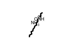 CCCCCCCCCCCC(=O)NOCCC.N